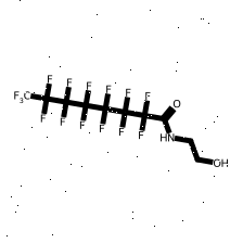 O=C(NCCO)C(F)(F)C(F)(F)C(F)(F)C(F)(F)C(F)(F)C(F)(F)C(F)(F)F